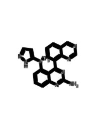 Nc1nc(-c2cccc3cncnc23)c2c(N(c3ccn[nH]3)C(F)(F)F)cccc2n1